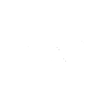 c1ccc(-c2cc3nc(-n4c5ccccc5c5ccc6sc7ccccc7c6c54)sc3c3c2sc2ccccc23)cc1